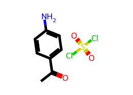 CC(=O)c1ccc(N)cc1.O=S(=O)(Cl)Cl